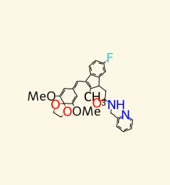 COC1=CC(=CC2=C(C)C(CC(=O)NCc3ccccn3)c3cc(F)ccc32)C=C(OC)C12OCCO2